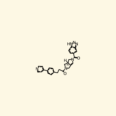 O=C(c1ccc2[nH]nnc2c1)N1C=C2CN(C(=O)CCc3ccc(-c4ccncc4)cc3)C[C@@H]2C1